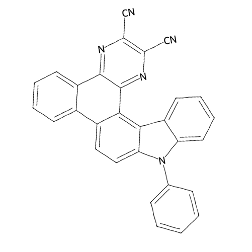 N#Cc1nc2c3ccccc3c3ccc4c(c5ccccc5n4-c4ccccc4)c3c2nc1C#N